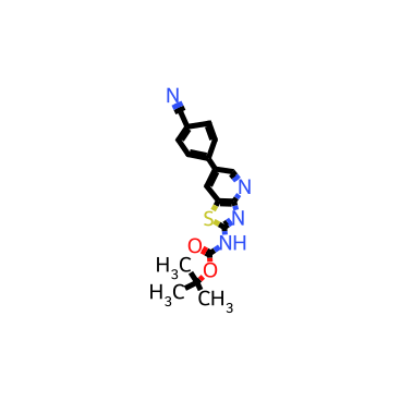 CC(C)(C)OC(=O)Nc1nc2ncc(-c3ccc(C#N)cc3)cc2s1